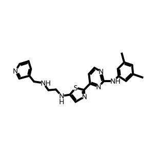 Cc1cc(C)cc(Nc2nccc(-c3ncc(NCCNCc4cccnc4)s3)n2)c1